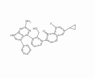 Nc1nc(-c2cccc(-n3ccc4cc(C5CC5)cc(F)c4c3=O)c2CO)c2c(-c3ccccc3)c[nH]c2n1